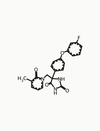 Cc1cccn(CC2(c3ccc(Oc4cccc(F)c4)cc3)NC(=O)NC2=O)c1=O